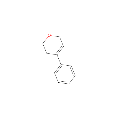 [c]1ccc(C2=CCOCC2)cc1